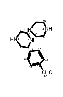 C1CNCCN1.C1CNCCN1.O=Cc1ccccc1